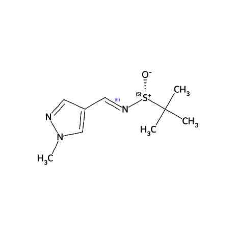 Cn1cc(/C=N/[S@+]([O-])C(C)(C)C)cn1